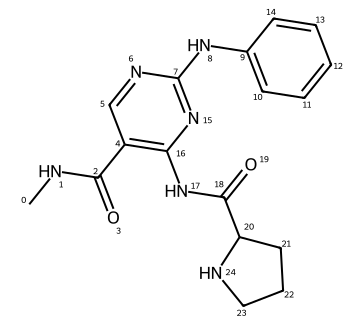 CNC(=O)c1cnc(Nc2ccccc2)nc1NC(=O)C1CCCN1